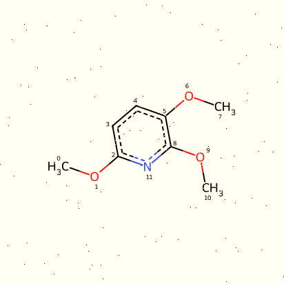 COc1ccc(OC)c(OC)n1